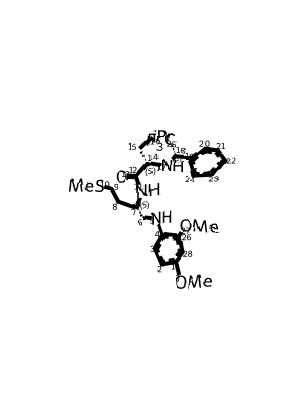 COc1ccc(NC[C@H](CCSC)NC(=O)[C@H](CC(C)C)N[C@@H](c2ccccc2)C(F)(F)F)c(OC)c1